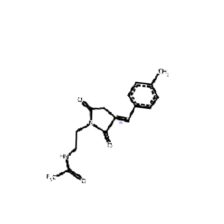 Cc1ccc(/C=C2\CC(=O)N(CCNC(=O)C(F)(F)F)C2=O)cc1